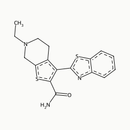 CCN1CCc2c(sc(C(N)=O)c2-c2nc3ccccc3s2)C1